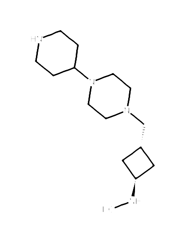 CN[C@H]1C[C@H](CN2CCN(C3CCNCC3)CC2)C1